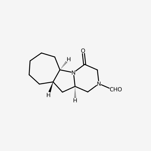 O=CN1CC(=O)N2[C@H](C[C@@H]3CCCCC[C@H]32)C1